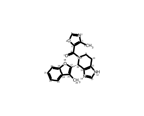 Cc1ncoc1C(=O)N1CCc2[nH]cnc2[C@@H]1c1oc2ccccc2c1C